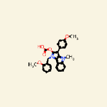 COc1ccc(-c2c(OC(=O)O)n(Cc3ccccc3OC)c3c4ccccc4n(C)c23)cc1